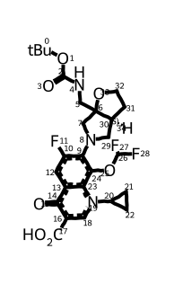 CC(C)(C)OC(=O)NCC12CN(c3c(F)cc4c(=O)c(C(=O)O)cn(C5CC5)c4c3OC(F)F)C[C@@H]1CCO2